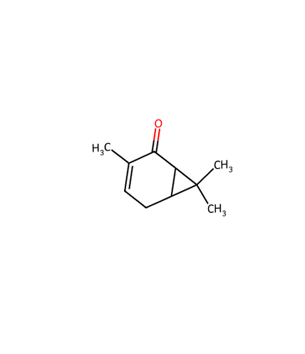 CC1=CCC2C(C1=O)C2(C)C